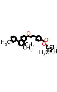 Cc1cccc(C2=CCC(C)(C)c3cc(C(=O)/C=C/c4ccc(C(=O)OCC[Si](C)(C)C)cc4)ccc32)c1